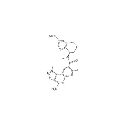 COc1ccc2c(c1)COC[C@H]2N(C)C(=O)c1cc2c(cc1F)nc(N)c1cnn(C)c12